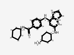 N[C@H]1CC[C@H](Nc2cc(Nc3ccc(C(=O)NC4CCCCC4)cc3)c3nccn3n2)CC1